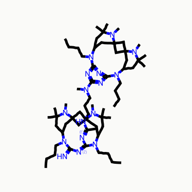 CCCCN1C(=N)/N=C(\N=C(/C)NCCCN(C)c2nc3nc(n2)N(CCCC)C2CC(C)(C)N(C)C4(C2)CC2(CC(CC(C)(C)N2C)N3CCCC)C4)N(CCCC)C2CC(C)(C)N(C)C3(C2)CC2(CC1CC(C)(C)N2C)C3